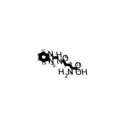 Cn1c(CNC(=O)CCC(N)C(=O)O)nc2ccccc21